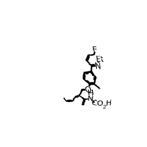 C=C(NC(=O)O)/C(=C\C=C/C)COc1ccc(C(/C=C\CF)=N/CC)cc1C